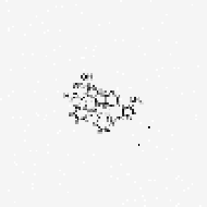 Cc1nnn(C)c1-c1cnc2c3sc(C(=O)O)c(C(C)C)c3n([C@H](c3ccccc3)C3CCOCC3)c2c1